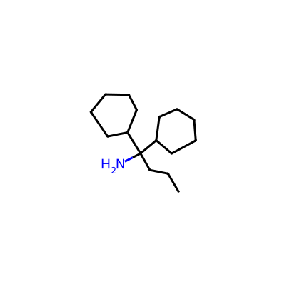 CCCC(N)(C1CCCCC1)C1CCCCC1